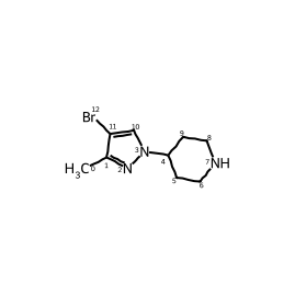 Cc1nn(C2CCNCC2)cc1Br